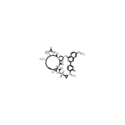 COc1ccc2c(O[C@@H]3C[C@H]4C(=O)N[C@]5(C(=O)NS(=O)(=O)C6CC6)C[C@H]5/C=C\CC[C@H](C)C[C@@H](C)[C@H](NC(=O)O)C(=O)N4C3)nc(-c3ccc(OC)c(F)c3)cc2c1